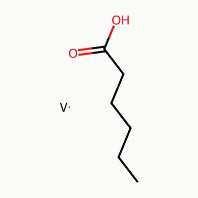 CCCCCC(=O)O.[V]